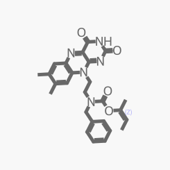 C/C=C(/C)OC(=O)N(CCn1c2nc(=O)[nH]c(=O)c-2nc2cc(C)c(C)cc21)Cc1ccccc1